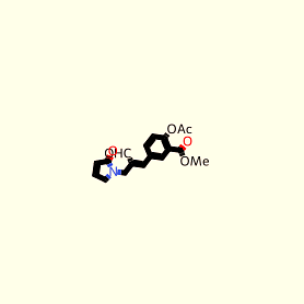 COC(=O)c1cc(/C=C(\C=O)CN2CC=CC2=O)ccc1OC(C)=O